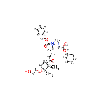 Cc1c(OCCO)ccc(C(=O)/C=C/C[C@H]2CN(C(=O)OCc3ccccc3)CCN2C(=O)OCc2ccccc2)c1C